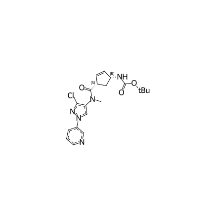 CN(C(=O)[C@@H]1C=C[C@H](NC(=O)OC(C)(C)C)C1)c1cn(-c2cccnc2)nc1Cl